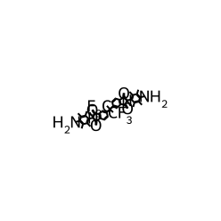 Cc1c(C)c(N2C(=O)c3ccc(C(c4ccc5c(c4)C(=O)N(c4c(C)c(C)c(N)c(C)c4C)C5=O)(C(F)(F)F)C(F)(F)F)cc3C2=O)c(C)c(C)c1N